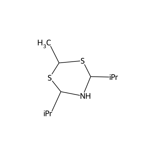 CC1SC(C(C)C)NC(C(C)C)S1